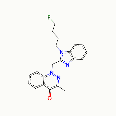 Cc1nn(Cc2nc3ccccc3n2CCCCF)c2ccccc2c1=O